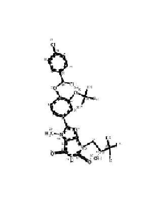 C[C@@H](Oc1ccc(-c2nc3c(c(=O)[nH]c(=O)n3C[C@@H](O)C(F)(F)F)n2C)cc1OC(F)(F)F)c1ccc(Cl)cc1